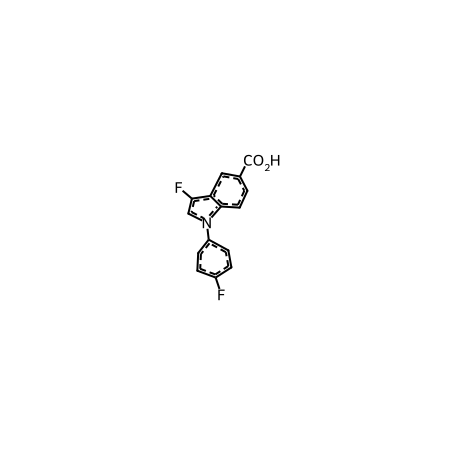 O=C(O)c1ccc2c(c1)c(F)cn2-c1ccc(F)cc1